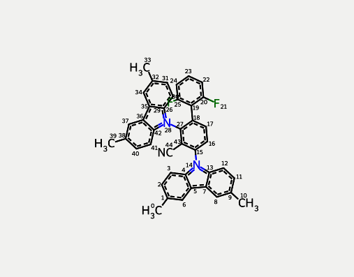 Cc1ccc2c(c1)c1cc(C)ccc1n2-c1ccc(-c2c(F)cccc2F)c(-n2c3ccc(C)cc3c3cc(C)ccc32)c1C#N